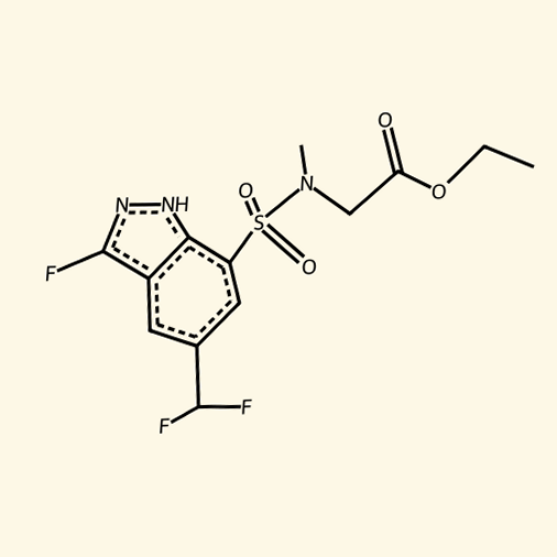 CCOC(=O)CN(C)S(=O)(=O)c1cc(C(F)F)cc2c(F)n[nH]c12